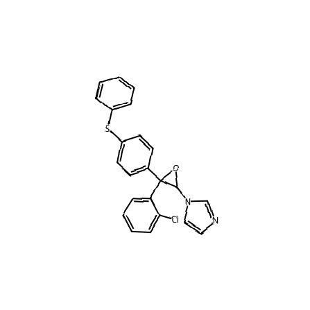 Clc1ccccc1C1(c2ccc(Sc3ccccc3)cc2)OC1n1ccnc1